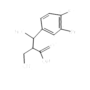 CCC(C(=O)O)C(C)c1ccc(F)c(Br)c1